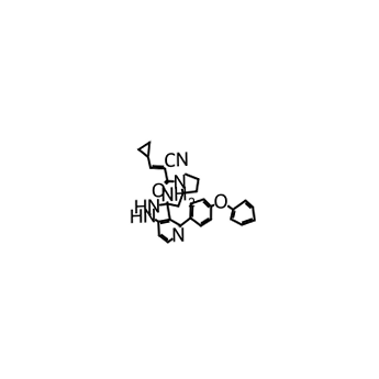 N#C/C(=C\C1CC1)C(=O)N1CCCC1CC1(N)NNc2ccnc(-c3ccc(Oc4ccccc4)cc3)c21